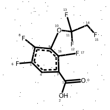 O=C(O)c1cc(F)c(F)c(OC(F)(F)CF)c1F